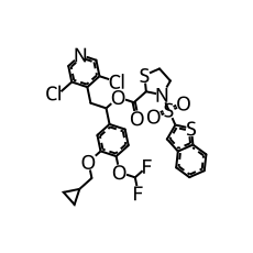 O=C(OC(Cc1c(Cl)cncc1Cl)c1ccc(OC(F)F)c(OCC2CC2)c1)C1SCCN1S(=O)(=O)c1cc2ccccc2s1